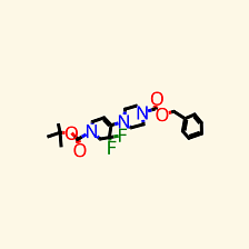 CC(C)(C)OC(=O)N1CC=C(N2CCN(C(=O)OCc3ccccc3)CC2)C(F)(F)C1